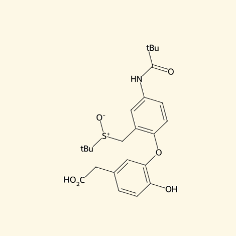 CC(C)(C)C(=O)Nc1ccc(Oc2cc(CC(=O)O)ccc2O)c(C[S+]([O-])C(C)(C)C)c1